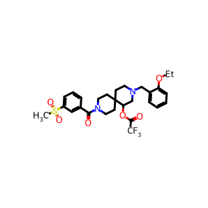 CCOc1ccccc1CN1CCC2(CCN(C(=O)c3cccc(S(C)(=O)=O)c3)CC2)C(OC(=O)C(F)(F)F)C1